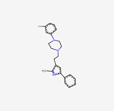 Cc1[nH]c(-c2ccccc2)cc1CCN1CCN(c2cccc(F)c2)CC1